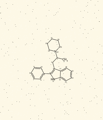 CC(Cc1c(-c2ccccc2)[nH]c2ccccc12)N1CCCCC1